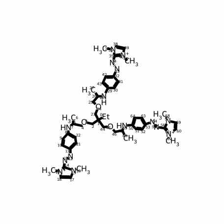 CCC(COCC(C)Nc1ccc(/N=N/c2n(C)cc[n+]2C)cc1)(COCC(C)Nc1ccc(/N=N/c2n(C)cc[n+]2C)cc1)COCC(C)Nc1ccc(/N=N/c2n(C)cc[n+]2C)cc1